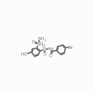 NS(=O)(=O)c1cc(O)ccc1S(=O)(=O)NC(=O)c1ccc(Br)cc1